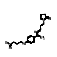 CCN(CC)CCCOc1ccc(C(C)NCCCN2CCCC2=O)cc1